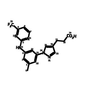 Cc1cc(Nc2nccc(C(F)(F)F)n2)cc(-n2cc(CCC(=O)O)cn2)c1